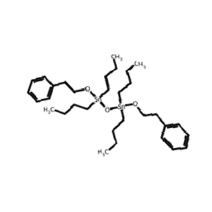 CCC[CH2][Sn]([CH2]CCC)([O]CCc1ccccc1)[O][Sn]([CH2]CCC)([CH2]CCC)[O]CCc1ccccc1